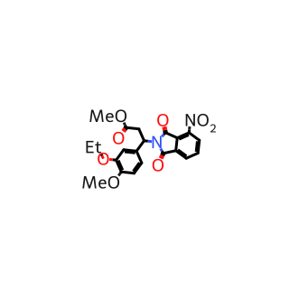 CCOc1cc(C(CC(=O)OC)N2C(=O)c3cccc([N+](=O)[O-])c3C2=O)ccc1OC